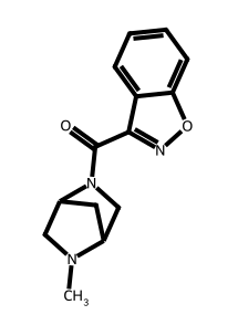 CN1CC2CC1CN2C(=O)c1noc2ccccc12